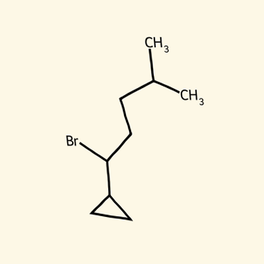 CC(C)CCC(Br)C1CC1